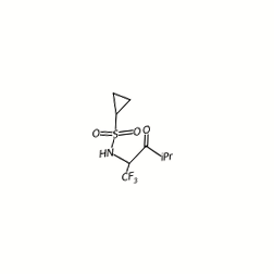 CC(C)C(=O)C(NS(=O)(=O)C1CC1)C(F)(F)F